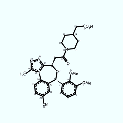 COc1cccc([C@H]2O[C@H](CC(=O)N3CCC(CC(=O)O)CC3)c3nnc(C(F)(F)F)n3-c3ccc(C#N)cc32)c1OC